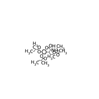 CCC(C)C(=O)Oc1ccc(C(CC(C)OC(=O)C(C)CC)[C@H](N)C(=O)O)cc1OC(=O)C(C)CC